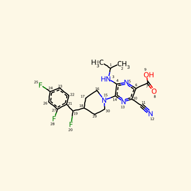 CC(C)Nc1nc(C(=O)O)c(C#N)nc1N1CCC(C(F)c2ccc(F)cc2F)CC1